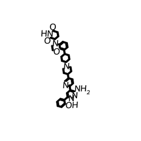 Nc1nnc(-c2ccccc2O)cc1-c1ccc(C2CCN(C3CCC(c4cccc5c4OCCN5[C@@H]4CCC(=O)NC4=O)CC3)CC2)cn1